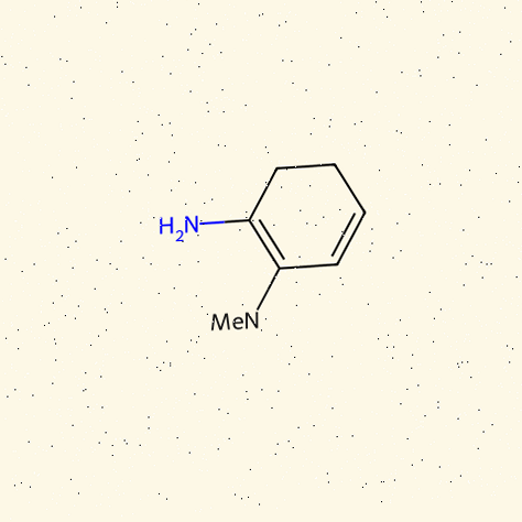 CNC1=C(N)CCC=C1